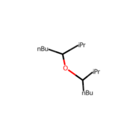 CCCCC(OC(CCCC)C(C)C)C(C)C